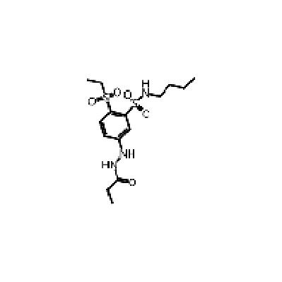 CCCCNS(=O)(=O)c1cc(NNC(=O)CC)ccc1S(=O)(=O)CC